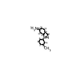 Cc1cccc(-n2ncc3ccc(N)cc32)c1